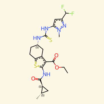 CCOC(=O)c1c(NC(=O)[C@H]2C[C@@H]2C)sc2c1C[C@@H](NC(=S)Nc1cc(C(F)F)nn1C)CC2